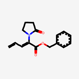 C=CC=C(C(=O)OCc1ccccc1)N1CCCC1=O